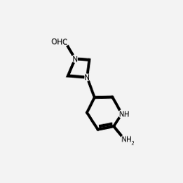 NC1=CCC(N2CN(C=O)C2)CN1